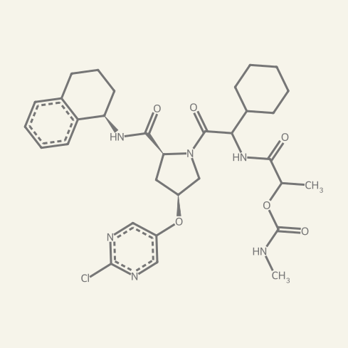 CNC(=O)OC(C)C(=O)NC(C(=O)N1C[C@@H](Oc2cnc(Cl)nc2)C[C@H]1C(=O)N[C@@H]1CCCc2ccccc21)C1CCCCC1